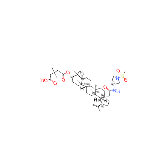 C=C(C)[C@@H]1CC[C@]2(CC(=O)N[C@@H]3CCN(S(C)(=O)=O)C3)CC[C@]3(C)[C@H](CC[C@@H]4[C@@]5(C)CC[C@H](OC(=O)CC(C)(C)CC(=O)O)C(C)(C)[C@@H]5CC[C@]43C)[C@@H]12